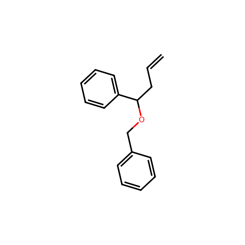 C=CCC(OCc1ccccc1)c1ccccc1